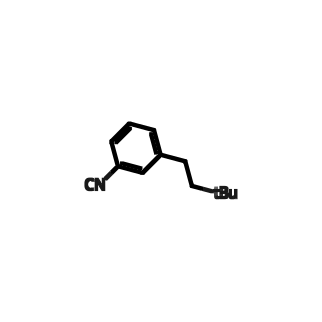 [C-]#[N+]c1cccc(CCC(C)(C)C)c1